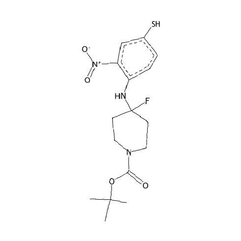 CC(C)(C)OC(=O)N1CCC(F)(Nc2ccc(S)cc2[N+](=O)[O-])CC1